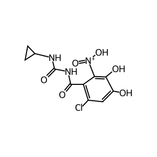 O=C(NC(=O)c1c(Cl)cc(O)c(O)c1[N+](=O)O)NC1CC1